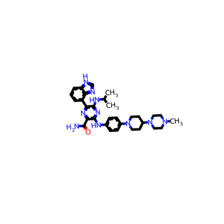 CC(C)Nc1nc(Nc2ccc(N3CCC(N4CCN(C)CC4)CC3)cc2)c(C(N)=O)nc1-c1cccc2[nH]cnc12